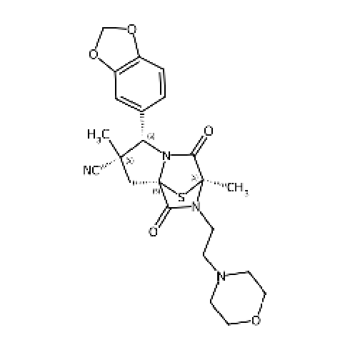 C[C@]1(C#N)C[C@@]23S[C@@](C)(C(=O)N2[C@H]1c1ccc2c(c1)OCO2)N(CCN1CCOCC1)C3=O